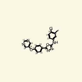 Cc1cc(Nc2nnc(-c3ccc(Oc4cncnc4)cc3)o2)ccc1Cl